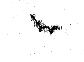 CCC(C)(C)C1CC(=O)N(CCCCCC(=O)NCC(=O)NCC(=O)N[C@@H](Cc2ccccc2)C(=O)NCC(=O)NCO[C@@H](C)CC(=O)N[C@H]2CCc3c(C)c(F)cc4nc5c(c2c34)Cn2c-5cc3c(c2=O)COC(=O)[C@]3(O)CC)C1=O